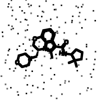 Cc1c(C(=O)NC2CCCC2(C)C)c2cccc3c2n1[C@H](CN1CCOCC1)CO3